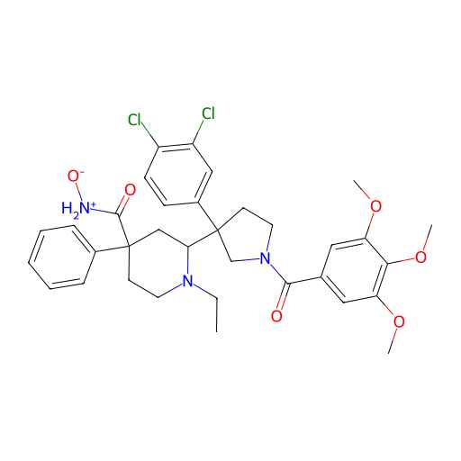 CCN1CCC(C(=O)[NH2+][O-])(c2ccccc2)CC1C1(c2ccc(Cl)c(Cl)c2)CCN(C(=O)c2cc(OC)c(OC)c(OC)c2)C1